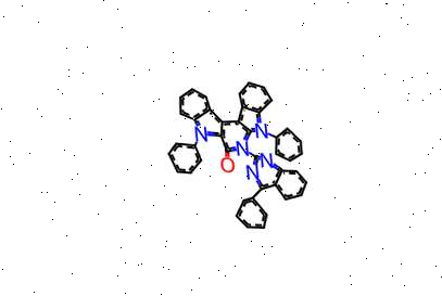 O=c1c2c(c3ccccc3n2-c2ccccc2)c2c3ccccc3n(-c3ccccc3)c2n1-c1nc(-c2ccccc2)c2ccccc2n1